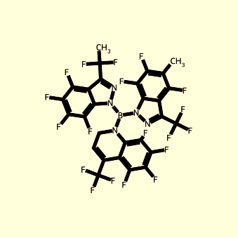 Cc1c(F)c(F)c2c(c(C(F)(F)F)nn2B(N2CC=C(C(F)(F)F)c3c(F)c(F)c(F)c(F)c32)n2nc(C(C)(F)F)c3c(F)c(F)c(F)c(F)c32)c1F